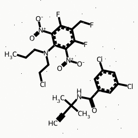 C#CC(C)(C)NC(=O)c1cc(Cl)cc(Cl)c1.CCCN(CCCl)c1c([N+](=O)[O-])c(F)c(CF)c(F)c1[N+](=O)[O-]